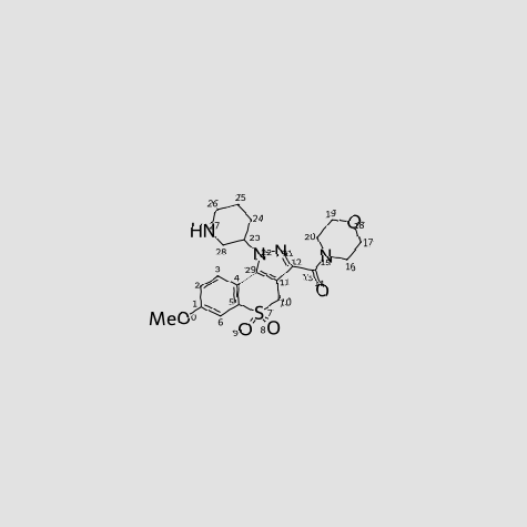 COc1ccc2c(c1)S(=O)(=O)Cc1c(C(=O)N3CCOCC3)nn(C3CCCNC3)c1-2